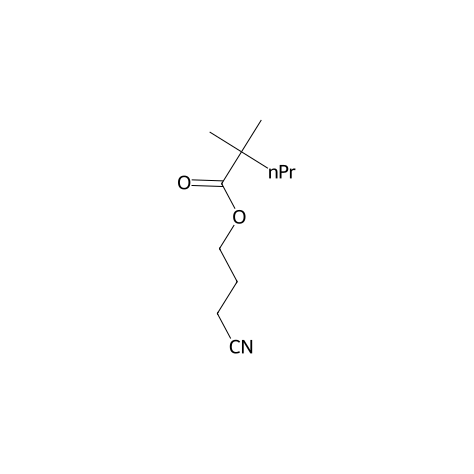 CCCC(C)(C)C(=O)OCCCC#N